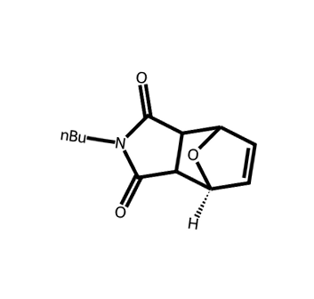 CCCCN1C(=O)C2C3C=C[C@H](O3)C2C1=O